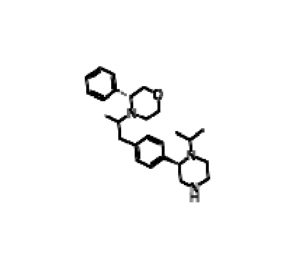 CC(C)N1CCNC[C@H]1c1ccc(CC(C)N2CCOC[C@H]2c2ccccc2)cc1